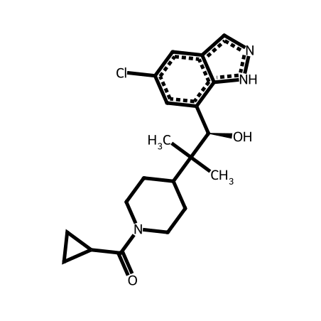 CC(C)(C1CCN(C(=O)C2CC2)CC1)[C@H](O)c1cc(Cl)cc2cn[nH]c12